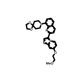 COCCOc1ccn2c(-c3ccc4cccc(N5CCC6(CC5)OCCO6)c4n3)cnc2c1